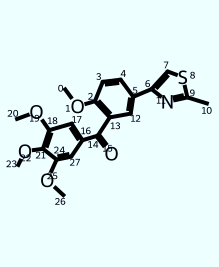 COc1ccc(-c2csc(C)n2)cc1C(=O)c1cc(OC)c(OC)c(OC)c1